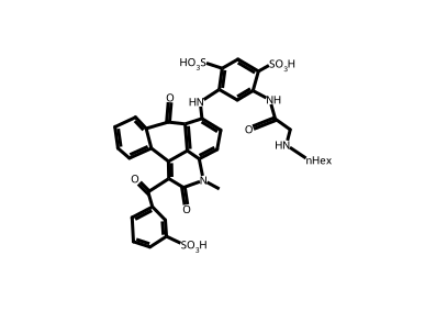 CCCCCCNCC(=O)Nc1cc(Nc2ccc3c4c2C(=O)c2ccccc2-c4c(C(=O)c2cccc(S(=O)(=O)O)c2)c(=O)n3C)c(S(=O)(=O)O)cc1S(=O)(=O)O